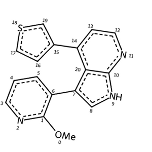 COc1ncccc1-c1c[nH]c2nccc(-c3ccsc3)c12